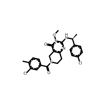 COn1c(N[C@@H](C)c2ccc(Cl)cc2)nc2c(c1=O)CN(C(=O)c1ccc(C)c(Cl)c1)CC2